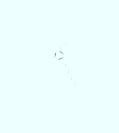 OCc1cc(CO)cc(OCCCCCCCl)c1